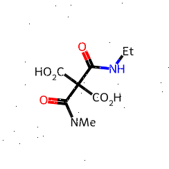 CCNC(=O)C(C(=O)O)(C(=O)O)C(=O)NC